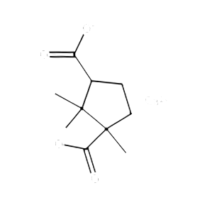 CC1(C(=O)[O-])CCC(C(=O)[O-])C1(C)C.[Ca+2]